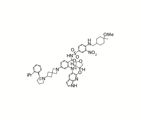 COC1(C)CCC(CNc2ccc(S(=O)(=O)NC(=O)c3ccc(N4CC5(CC(N6CCC[C@H]6c6ccccc6C(C)C)C5)C4)cc3N3c4cc5cc[nH]c5nc4O[C@@H]4COC[C@H]43)cc2[N+](=O)[O-])CC1